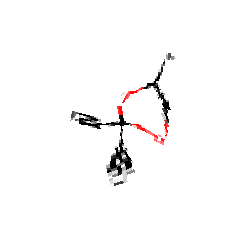 C#CC1(C#C)OCC(C(C)C)O1